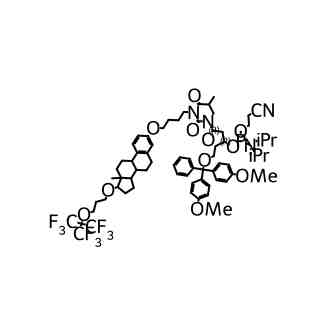 COc1ccc(C(OCC2O[C@@H](N3CC(C)C(=O)N(CCCCOc4ccc5c(c4)CCC4C5CCC5(C)C(OCCCOC(C(F)(F)F)(C(F)(F)F)C(F)(F)F)CCC45)C3=O)C[C@H]2OP(OCCC#N)N(C(C)C)C(C)C)(c2ccccc2)c2ccc(OC)cc2)cc1